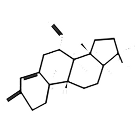 C=C[C@H]1CC2=CC(=O)CC[C@@H]2[C@H]2CC[C@@]3(CC)[C@@H](CC[C@]3(C)C#N)[C@@H]21